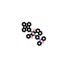 c1ccc2c(c1)Oc1ccccc1N2c1ccc(B2c3oc4ccccc4c3B(c3ccc4c(c3)-c3ccccc3C43c4ccccc4-c4ccccc43)c3oc4ccc5ccccc5c4c32)cc1